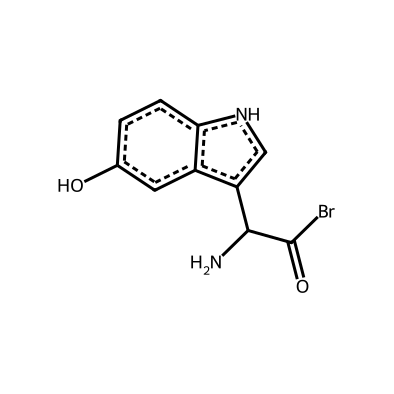 NC(C(=O)Br)c1c[nH]c2ccc(O)cc12